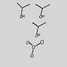 CC(C)O.CC(C)O.CC(C)O.[Cl][Cr]([Cl])[Cl]